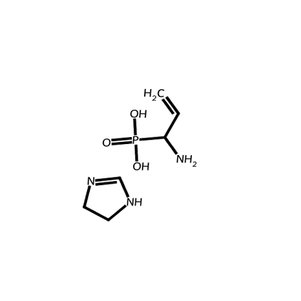 C1=NCCN1.C=CC(N)P(=O)(O)O